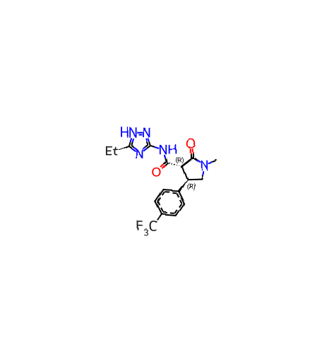 CCc1nc(NC(=O)[C@@H]2C(=O)N(C)C[C@H]2c2ccc(C(F)(F)F)cc2)n[nH]1